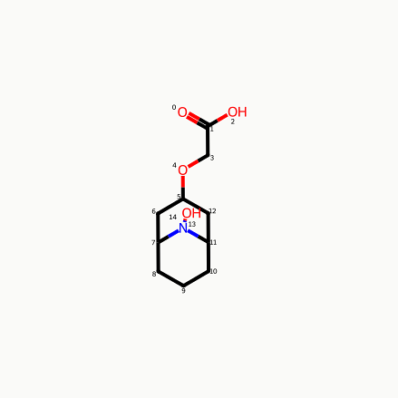 O=C(O)COC1CC2CCCC(C1)N2O